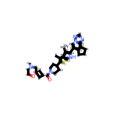 Cc1c(C2CCN(C(=O)[C@H]3C[C@@]4(CN(C)CCO4)C3)CC2)sc2[nH]c(-c3cn4ncnc4c4c3CCC4)c(C(C)C)c12